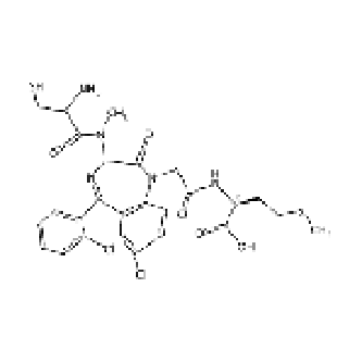 CSCC[C@H](NC(=O)CN1C(=O)C(N(C)C(=O)C(N)CS)N=C(c2ccccc2Cl)c2cc(Cl)ccc21)C(=O)O